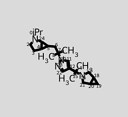 CC(C)N1CCC2C(CC(C)(C)n3cc(C(C)(C)N4CC5CC5C4)cn3)C21